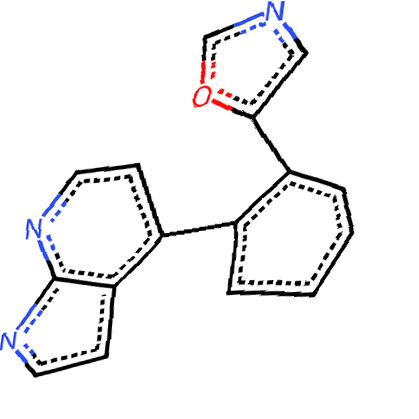 c1ccc(-c2ccnc3[nH]ccc23)c(-c2cnco2)c1